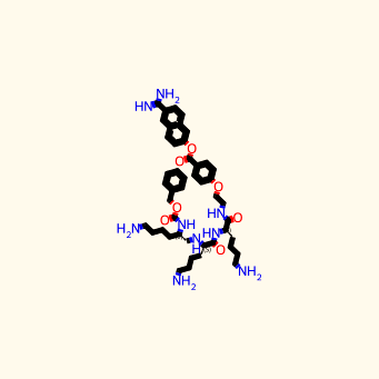 N=C(N)c1ccc2cc(OC(=O)c3ccc(OCCNC(=O)[C@H](CCCCN)NC(=O)[C@H](CCCCN)NC[C@H](CCCCN)NC(=O)OCc4ccccc4)cc3)ccc2c1